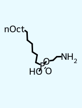 CCCCCCCCCCCCCCP(=O)(O)OCCN